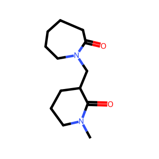 CN1CCCC(CN2CCCCCC2=O)C1=O